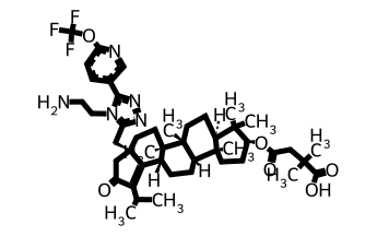 CC(C)C1=C2[C@H]3CC[C@@H]4[C@@]5(C)CC[C@H](OC(=O)CC(C)(C)C(=O)O)C(C)(C)[C@@H]5CC[C@@]4(C)[C@]3(C)CC[C@@]2(Cc2nnc(-c3ccc(OC(F)(F)F)nc3)n2CCN)CC1=O